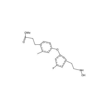 COC(=O)CCc1ccc(Oc2cc(F)cc(CCNO)c2)cc1C